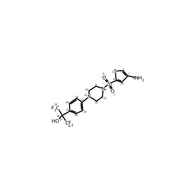 Nc1csc(S(=O)(=O)N2CCN(c3ccc(C(O)(C(F)(F)F)C(F)(F)F)cc3)CC2)c1